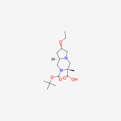 CCO[C@@H]1C[C@@H]2CN(C(=O)OC(C)(C)C)[C@@](C)(C(=O)O)CN2C1